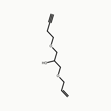 C#CCCOCC(O)COCC=C